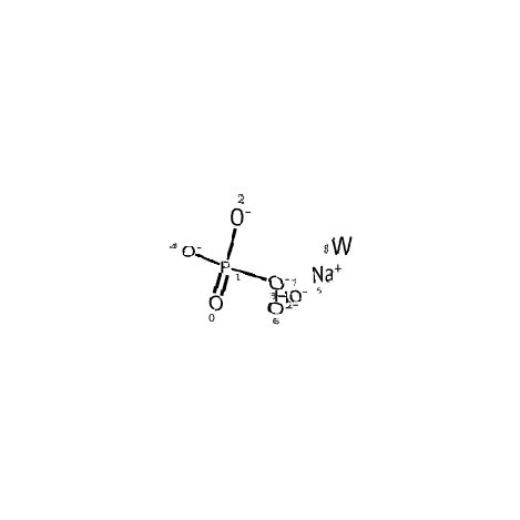 O=P([O-])([O-])[O-].[Na+].[O-2].[OH-].[W]